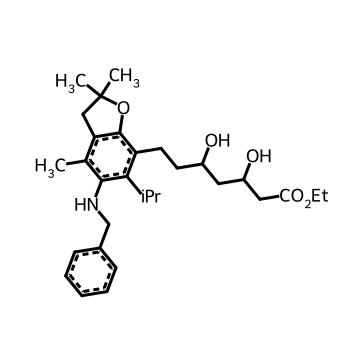 CCOC(=O)CC(O)CC(O)CCc1c2c(c(C)c(NCc3ccccc3)c1C(C)C)CC(C)(C)O2